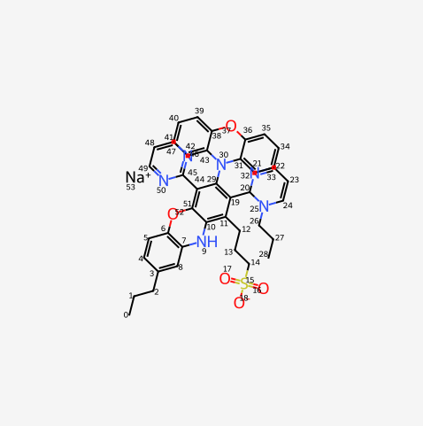 CCCc1ccc2c(c1)Nc1c(CCCS(=O)(=O)[O-])c(C3N=CC=CN3CCC)c(N3c4ccccc4Oc4ccccc43)c(-c3ncccn3)c1O2.[Na+]